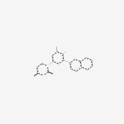 COc1c(-c2ccc3ccccc3c2)cc(-n2ccc(=O)[nH]c2=O)cc1C(C)(C)C